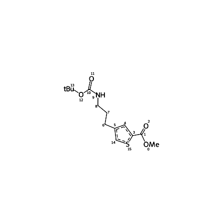 COC(=O)c1cc(CCCNC(=O)OC(C)(C)C)cs1